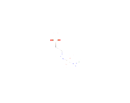 O=S(=O)(O)CCNS(=O)(=O)NCl